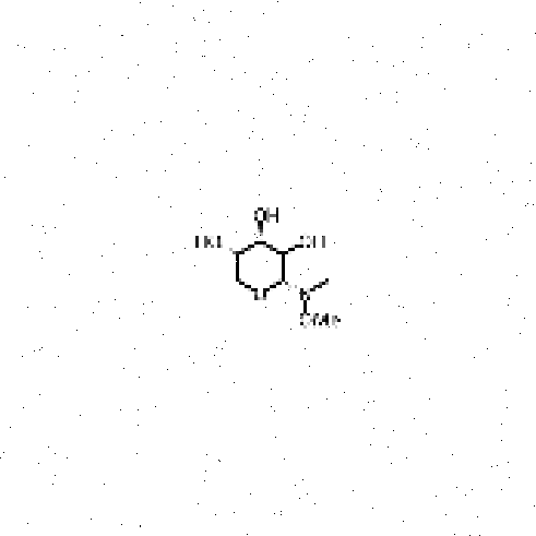 CON(C)[C@@H]1OC[C@H](O)[C@@H](O)C1O